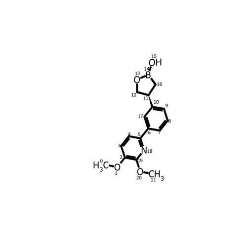 COc1ccc(-c2cccc([C@H]3COB(O)C3)c2)nc1OC